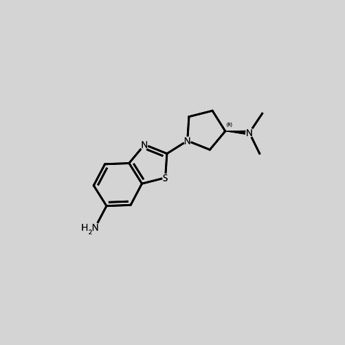 CN(C)[C@@H]1CCN(c2nc3ccc(N)cc3s2)C1